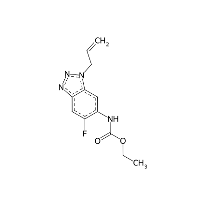 C=CCn1nnc2cc(F)c(NC(=O)OCC)cc21